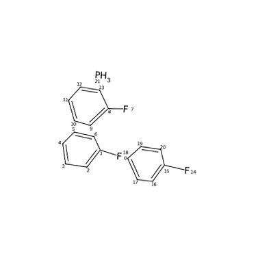 Fc1ccccc1.Fc1ccccc1.Fc1ccccc1.P